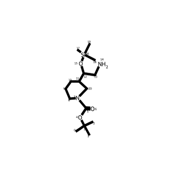 CC(C)(C)OC(=O)N1CCCC(C(CN)O[Si](C)(C)C)C1